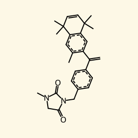 C=C(c1ccc(CN2C(=O)CN(C)C2=O)cc1)c1cc2c(cc1C)C(C)(C)C=CC2(C)C